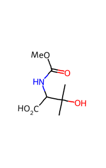 COC(=O)NC(C(=O)O)C(C)(C)O